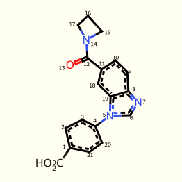 O=C(O)c1ccc(-n2cnc3ccc(C(=O)N4CCC4)cc32)cc1